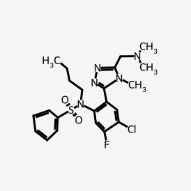 CCCCN(c1cc(F)c(Cl)cc1-c1nnc(CN(C)C)n1C)S(=O)(=O)c1ccccc1